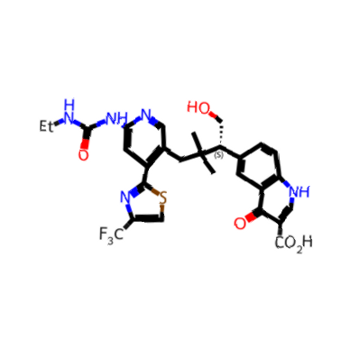 CCNC(=O)Nc1cc(-c2nc(C(F)(F)F)cs2)c(CC(C)(C)[C@H](CO)c2ccc3[nH]cc(C(=O)O)c(=O)c3c2)cn1